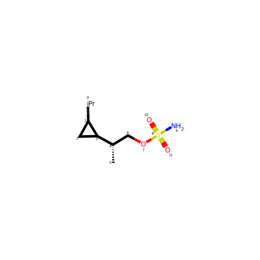 CC(C)C1CC1[C@@H](C)COS(N)(=O)=O